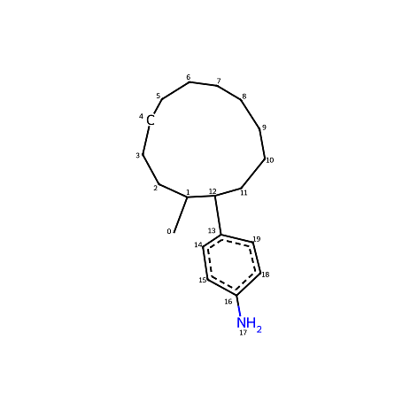 CC1CCCCCCCCCCC1c1ccc(N)cc1